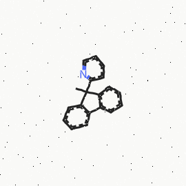 CC1(c2ccccn2)c2ccccc2-c2ccccc21